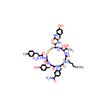 CC(=O)NCCCC[C@@H]1NC(=O)[C@@H](Cc2ccc(C(N)=O)cc2)NC(=O)[C@H](Cc2ccc(O)cc2)NC(=O)[C@H](NC(=O)[C@@H](N)Cc2ccc(Cl)cc2)CSSC[C@@H](C(=O)N[C@H](Cc2ccc(O)cc2)C(N)=O)NC(=O)C(C(C)O)NC1=O